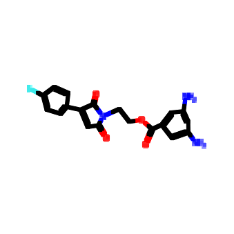 Nc1cc(N)cc(C(=O)OCCN2C(=O)C=C(c3ccc(F)cc3)C2=O)c1